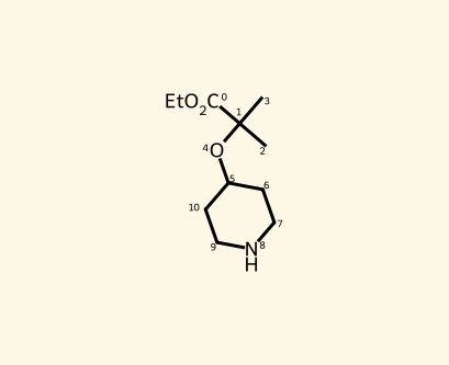 CCOC(=O)C(C)(C)OC1CCNCC1